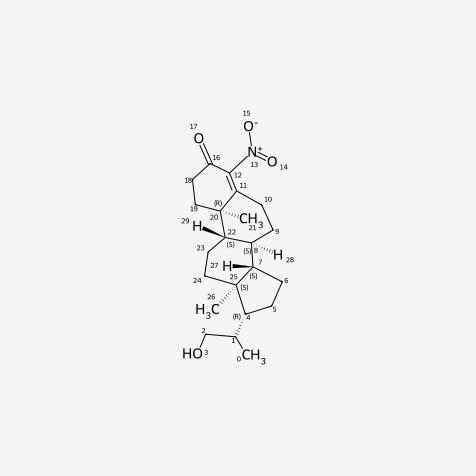 CC(CO)[C@H]1CC[C@H]2[C@@H]3CCC4=C([N+](=O)[O-])C(=O)CC[C@]4(C)[C@H]3CC[C@]12C